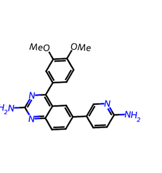 COc1ccc(-c2nc(N)nc3ccc(-c4ccc(N)nc4)cc23)cc1OC